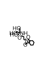 O=C(CCN1C(=O)C2=C(CCCC2)C1=O)NC(CO)(CO)CO